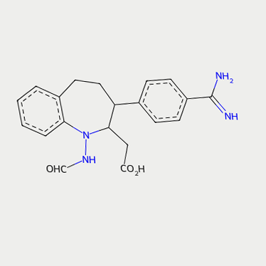 N=C(N)c1ccc(C2CCc3ccccc3N(NC=O)C2CC(=O)O)cc1